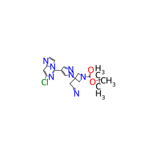 CC(C)(C)OC(=O)N1CC(CC#N)(n2cc(-c3nc(Cl)cc4nccn34)cn2)C1